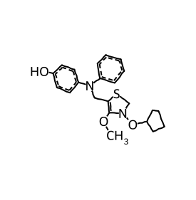 COC1=C(CN(c2ccccc2)c2ccc(O)cc2)SCN1OC1CCCC1